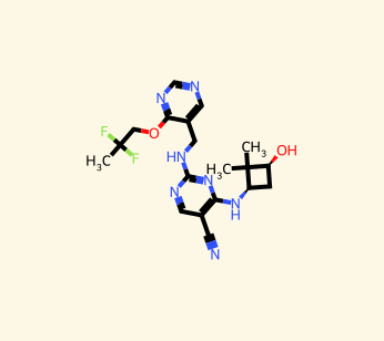 CC(F)(F)COc1ncncc1CNc1ncc(C#N)c(N[C@@H]2C[C@H](O)C2(C)C)n1